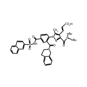 CCCCN(CCCC)C(=O)c1nn(-c2ccc(C(=O)NS(=O)(=O)c3ccc4ccccc4c3)cc2C(=O)N2CCc3ccccc3C2)c(C)c1C=CC(=O)O